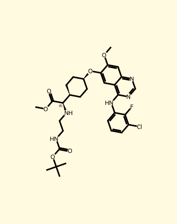 COC(=O)[C@H](NCCNC(=O)OC(C)(C)C)[C@H]1CC[C@@H](Oc2cc3c(Nc4cccc(Cl)c4F)ncnc3cc2OC)CC1